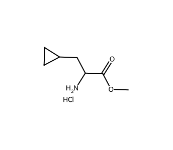 COC(=O)C(N)CC1CC1.Cl